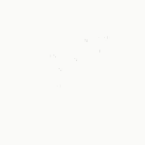 CC(N=c1cnc2c(Nc3cccc(-c4ccccc4)c3Cl)[nH]sc-2c1)C(=O)O